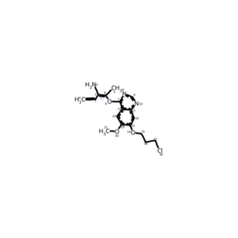 C=C/C(N)=C(/C)Oc1ncnc2cc(OCCCCl)c(OC)cc12